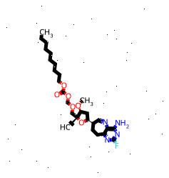 C#C[C@]1(COCOC(=O)OCCCCCCCCCC)O[C@@H](C2C=Nc3c(N)nc(F)nc3CC2)C[C@@H]1OC